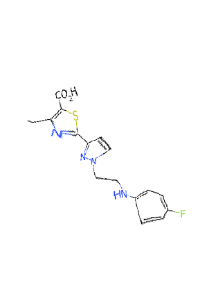 Cc1nc(-c2ccn(CCNc3ccc(F)cc3)n2)sc1C(=O)O